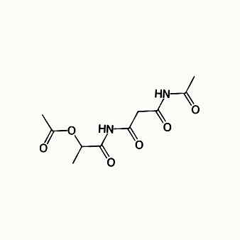 CC(=O)NC(=O)CC(=O)NC(=O)C(C)OC(C)=O